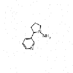 NN1CCCC1c1cccnc1